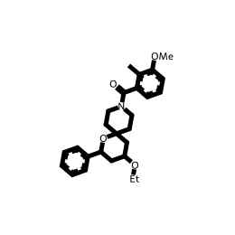 CCOC1CC(c2ccccc2)OC2(CCN(C(=O)c3cccc(OC)c3C)CC2)C1